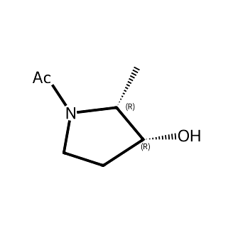 CC(=O)N1CC[C@@H](O)[C@H]1C